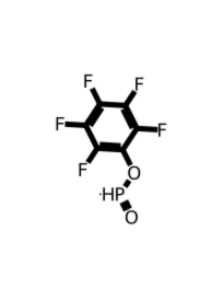 O=[PH]Oc1c(F)c(F)c(F)c(F)c1F